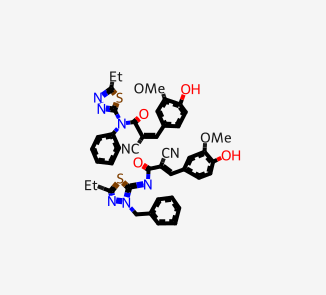 CCc1nn(Cc2ccccc2)c(=NC(=O)C(C#N)=Cc2ccc(O)c(OC)c2)s1.CCc1nnc(N(C(=O)C(C#N)=Cc2ccc(O)c(OC)c2)c2ccccc2)s1